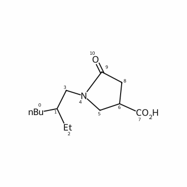 CCCCC(CC)CN1CC(C(=O)O)CC1=O